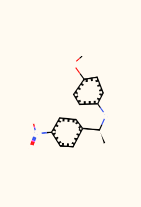 COc1ccc(N[C@@H](C)c2ccc([N+](=O)[O-])cc2)cc1